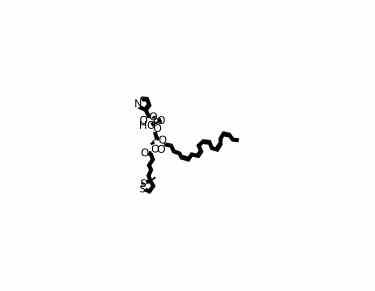 CC/C=C\C/C=C\C/C=C\C/C=C\C/C=C\CCCC(=O)O[C@H](COC(=O)CCCC[C@]1(C)CCSS1)COP(=O)(O)OC(=O)c1cccnc1